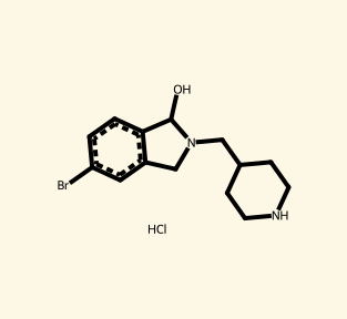 Cl.OC1c2ccc(Br)cc2CN1CC1CCNCC1